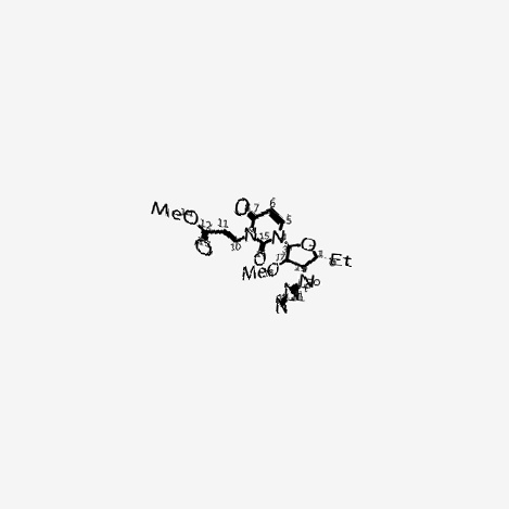 CC[C@H]1O[C@@H](n2ccc(=O)n(/C=C/C(=O)OC)c2=O)C(OC)[C@H]1N=[N+]=[N-]